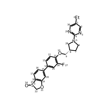 CCc1cnc(N2CC[C@H](COc3ccc(-c4ccc5c(c4)OC[S+]5[O-])cc3F)C2)nc1